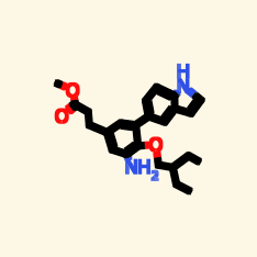 CCC(CC)COc1c(N)cc(CCC(=O)OC)cc1-c1ccc2[nH]ccc2c1